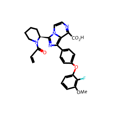 C=CC(=O)N1CCCC[C@H]1c1nc(-c2ccc(Oc3cccc(OC)c3F)cc2)c2c(C(=O)O)nccn12